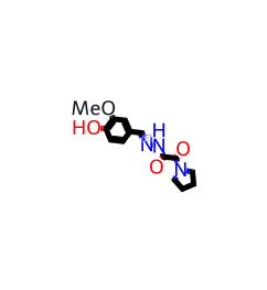 COc1cc(/C=N/NC(=O)C(=O)N2CCCC2)ccc1O